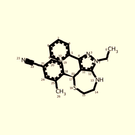 CCn1nc(-c2ccccn2)c2c1NCCS[C@H]2c1ccc(C#N)cc1C